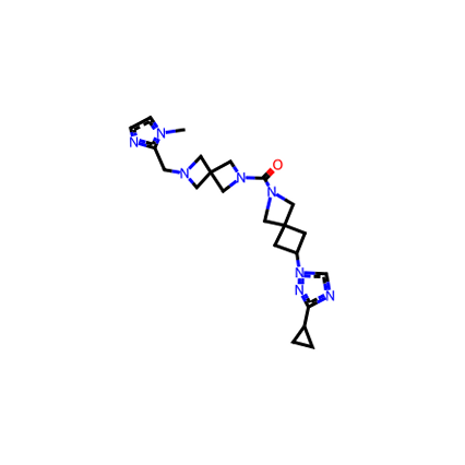 Cn1ccnc1CN1CC2(C1)CN(C(=O)N1CC3(CC(n4cnc(C5CC5)n4)C3)C1)C2